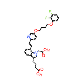 O=C(O)CCCc1cn(CC(=O)O)c2c(/C=C/c3ccc(OCCCCOc4cccc(F)c4F)cn3)cccc12